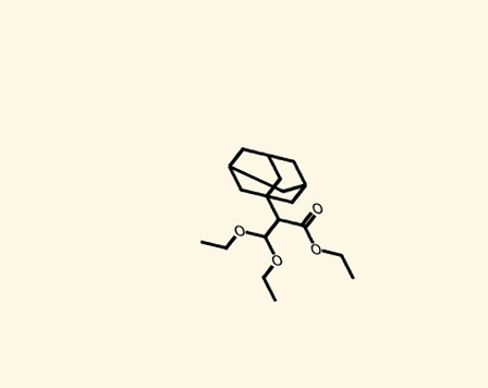 CCOC(=O)C(C(OCC)OCC)C12CC3CC(CC(C3)C1)C2